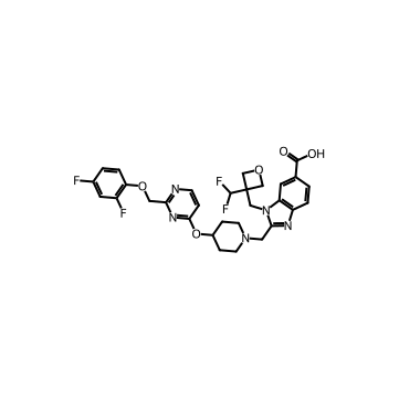 O=C(O)c1ccc2nc(CN3CCC(Oc4ccnc(COc5ccc(F)cc5F)n4)CC3)n(CC3(C(F)F)COC3)c2c1